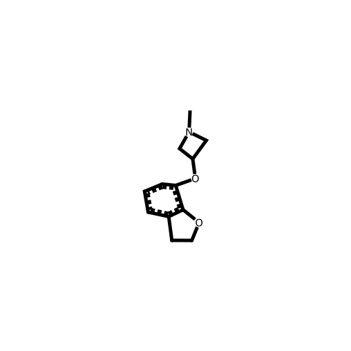 CN1CC(Oc2cccc3c2OCC3)C1